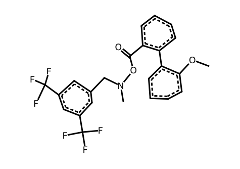 COc1ccccc1-c1ccccc1C(=O)ON(C)Cc1cc(C(F)(F)F)cc(C(F)(F)F)c1